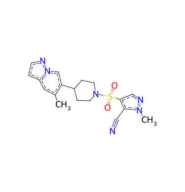 Cc1cc2ccnn2cc1C1CCN(S(=O)(=O)c2cnn(C)c2C#N)CC1